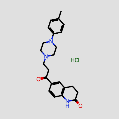 Cc1ccc(N2CCN(CCC(=O)c3ccc4c(c3)CCC(=O)N4)CC2)cc1.Cl